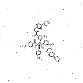 O=C(c1cc(F)cc(N(C(=O)Nc2ccc(C(F)(F)F)cc2)N(C(=O)Nc2ccc(C(F)(F)F)cc2)c2cc(F)cc(C(=O)c3ccc4ncc(N5CCOCC5)nc4c3)c2)c1)c1ccc2ncc(N3CCOCC3)nc2c1